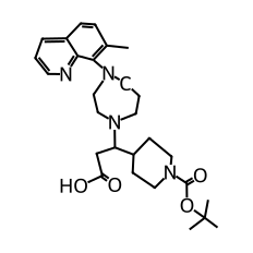 Cc1ccc2cccnc2c1N1CCCN(C(CC(=O)O)C2CCN(C(=O)OC(C)(C)C)CC2)CC1